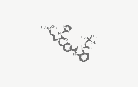 CN(C)CCCN(Cc1ccc(C(=O)Nc2ccccc2NC(=O)OC(C)(C)C)nc1)C(=O)Nc1nccs1